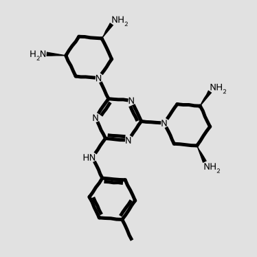 Cc1ccc(Nc2nc(N3C[C@H](N)C[C@H](N)C3)nc(N3C[C@H](N)C[C@H](N)C3)n2)cc1